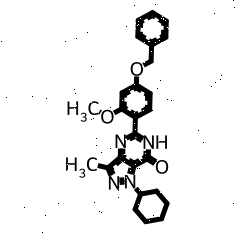 COc1cc(OCc2ccccc2)ccc1-c1nc2c(C)nn(C3CCCCC3)c2c(=O)[nH]1